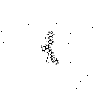 CC(C)(CN1CCCC1)NC(=O)C1CCN(c2nc(-c3ccnc(NC4CCOCC4)c3)cc3cnccc23)CC1